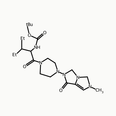 CCC(CC)C(NC(=O)OC(C)(C)C)C(=O)N1CCN(N2CN3CN(C)C=C3C2=O)CC1